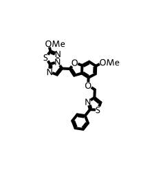 COc1cc(OCc2csc(-c3ccccc3)n2)c2cc(-c3cnc4sc(OC)nn34)oc2c1